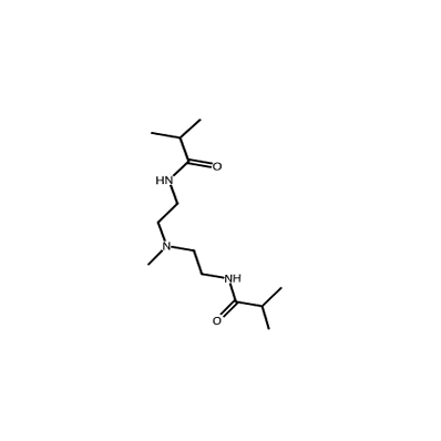 CC(C)C(=O)NCCN(C)CCNC(=O)C(C)C